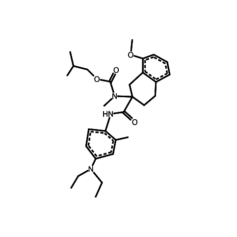 CCN(CC)c1ccc(NC(=O)C2(N(C)C(=O)OCC(C)C)CCc3cccc(OC)c3C2)c(C)c1